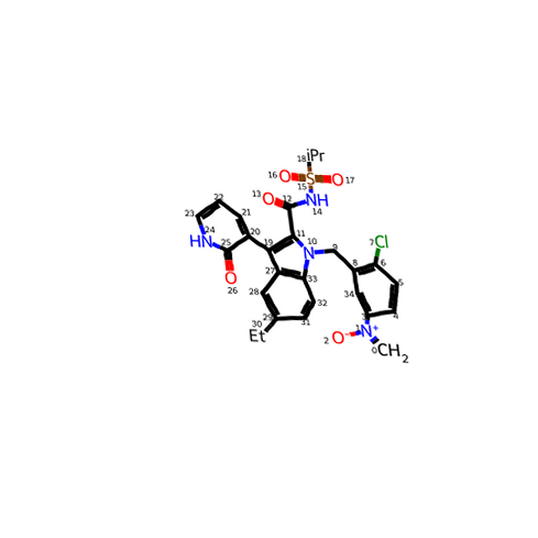 C=[N+]([O-])c1ccc(Cl)c(Cn2c(C(=O)NS(=O)(=O)C(C)C)c(-c3ccc[nH]c3=O)c3cc(CC)ccc32)c1